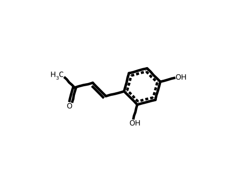 CC(=O)C=Cc1ccc(O)cc1O